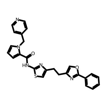 O=C(Nc1nc(CCc2coc(-c3ccccc3)n2)cs1)c1cccn1Cc1ccncc1